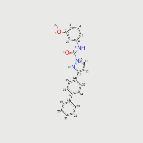 COc1cccc(NC(=O)n2ccc(-c3ccc(-c4ccccc4)cc3)n2)c1